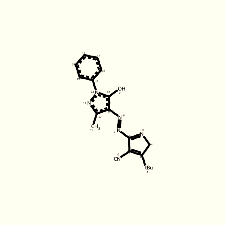 [C-]#[N+]C1=C(C(C)(C)C)CN=C1/N=N/c1c(C)nn(-c2ccccc2)c1O